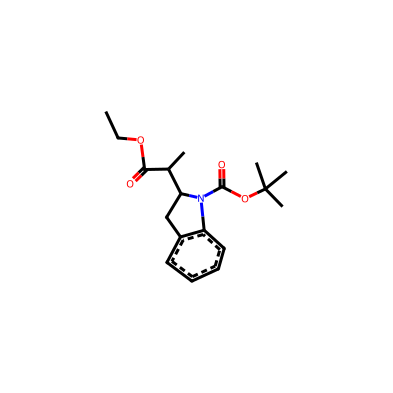 CCOC(=O)C(C)C1Cc2ccccc2N1C(=O)OC(C)(C)C